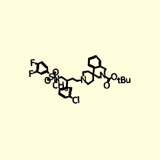 CN(CC(CCN1CCC2(CC1)CN(C(=O)OC(C)(C)C)Cc1ccccc12)c1cccc(Cl)c1)S(=O)(=O)c1ccc(F)c(F)c1